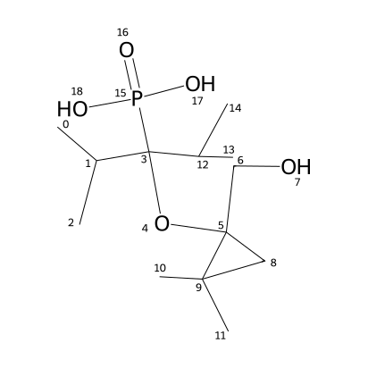 CC(C)C(OC1(CO)CC1(C)C)(C(C)C)P(=O)(O)O